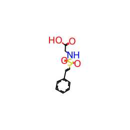 O=C(O)CNS(=O)(=O)C=Cc1ccccc1